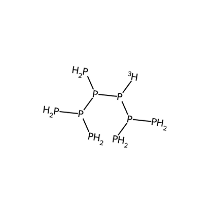 [3H]P(P(P)P)P(P)P(P)P